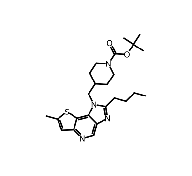 CCCCc1nc2cnc3cc(C)sc3c2n1CC1CCN(C(=O)OC(C)(C)C)CC1